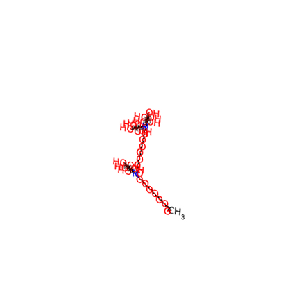 CC(=O)CCOCCOCCOCCOCCOCCOCCN(C[C@H](O)[C@@H](O)[C@H](O)[C@H](O)CO)C(=O)CCOCCOCCOCCOCCOCCOCCN(C[C@H](O)[C@@H](O)[C@H](O)[C@H](O)CO)C[C@H](O)[C@@H](O)[C@H](O)[C@H](O)CO